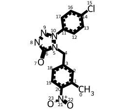 Cc1cc(Cn2c(=O)nnn2-c2ccc(Cl)cc2)ccc1[N+](=O)[O-]